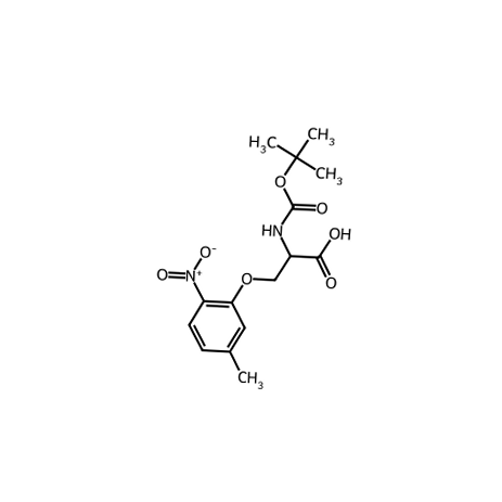 Cc1ccc([N+](=O)[O-])c(OCC(NC(=O)OC(C)(C)C)C(=O)O)c1